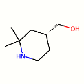 CC1(C)C[C@H](CO)CCN1